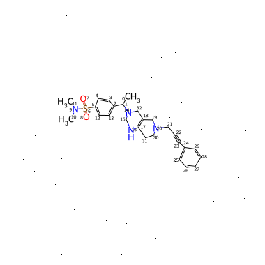 CC(c1ccc(S(=O)(=O)N(C)C)cc1)N1CNC2=C(CN(CC#Cc3ccccc3)CC2)C1